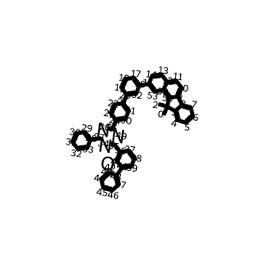 CC1(C)c2ccccc2-c2ccc3ccc(-c4cccc(-c5ccc(-c6nc(-c7ccccc7)nc(-c7cccc8c7oc7ccccc78)n6)cc5)c4)cc3c21